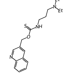 CCN(CC)CCCNC(=S)OCc1cnc2ccccc2c1